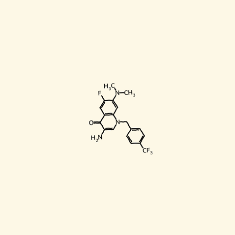 CN(C)c1cc2c(cc1F)c(=O)c(N)cn2Cc1ccc(C(F)(F)F)cc1